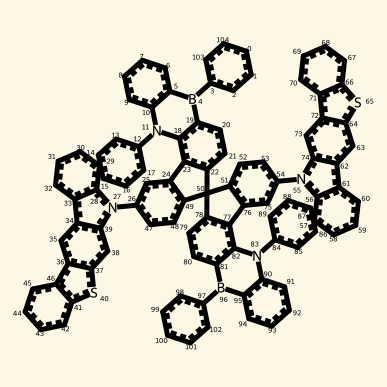 c1ccc(B2c3ccccc3N(c3ccccc3)c3c2ccc2c3-c3cc(-n4c5ccccc5c5cc6c(cc54)sc4ccccc46)ccc3C23c2ccc(-n4c5ccccc5c5cc6sc7ccccc7c6cc54)cc2-c2c3ccc3c2N(c2ccccc2)c2ccccc2B3c2ccccc2)cc1